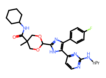 CCCNc1nccc(-c2[nH]c(C3OCC(C)(C(=O)NC4CCCCC4)CO3)nc2-c2ccc(F)cc2)n1